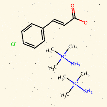 C[N+](C)(C)N.C[N+](C)(C)N.O=C([O-])C=Cc1ccccc1.[Cl-]